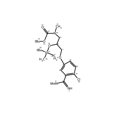 CNC(=N)c1cc(OCC(CN(C)C(=O)OC(C)(C)C)O[Si](C)(C)C(C)(C)C)ccc1Cl